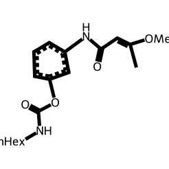 CCCCCCNC(=O)Oc1cccc(NC(=O)C=C(C)OC)c1